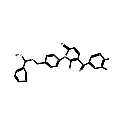 Cc1cc(C(=O)c2ccc(=O)n(-c3ccc(CNC(C(=O)O)c4ccccc4)cc3)c2N)ccc1F